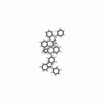 c1ccc(N2c3ccccc3B3c4ccccc4C4(c5ccccc5B(c5ccc6c(c5)c5ccccc5n6-c5ccccc5)c5ccccc54)c4cccc2c43)cc1